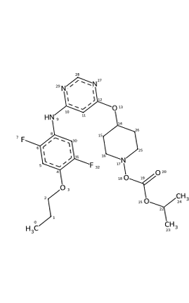 CCCOc1cc(F)c(Nc2cc(OC3CCN(OC(=O)OC(C)C)CC3)ncn2)cc1F